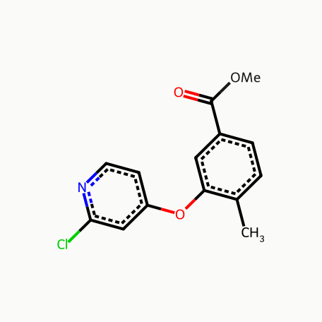 COC(=O)c1ccc(C)c(Oc2ccnc(Cl)c2)c1